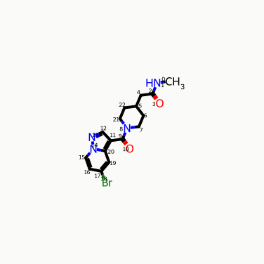 CNC(=O)CC1CCN(C(=O)c2cnn3ccc(Br)cc23)CC1